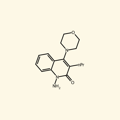 CCCc1c(N2CCOCC2)c2ccccc2n(N)c1=O